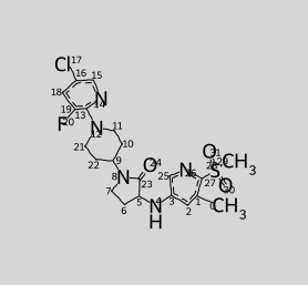 Cc1cc(NC2CCN(C3CCN(c4ncc(Cl)cc4F)CC3)C2=O)cnc1S(C)(=O)=O